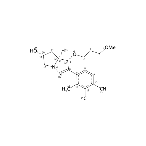 COCCCO[C@@H]1C(c2ccc(C#N)c(Cl)c2C)=NN2C[C@H](O)C[C@@H]12